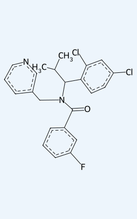 CC(C)C(c1ccc(Cl)cc1Cl)N(Cc1cccnc1)C(=O)c1cccc(F)c1